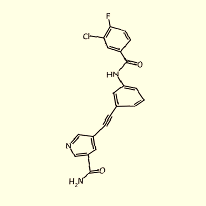 NC(=O)c1cncc(C#Cc2cccc(NC(=O)c3ccc(F)c(Cl)c3)c2)c1